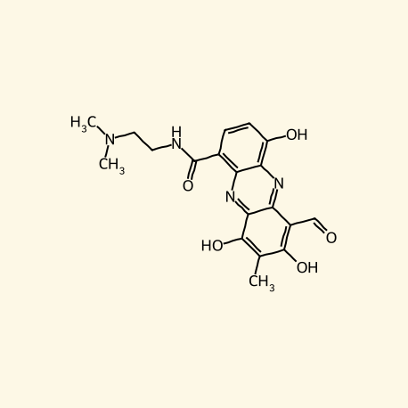 Cc1c(O)c(C=O)c2nc3c(O)ccc(C(=O)NCCN(C)C)c3nc2c1O